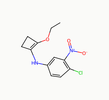 CCOC1=C(Nc2ccc(Cl)c([N+](=O)[O-])c2)CC1